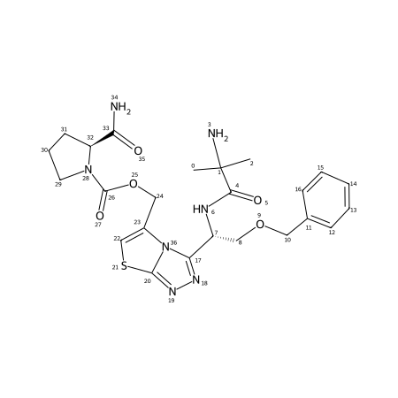 CC(C)(N)C(=O)N[C@H](COCc1ccccc1)c1nnc2scc(COC(=O)N3CCC[C@H]3C(N)=O)n12